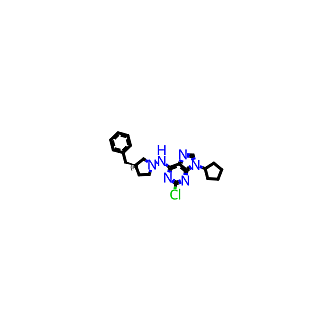 Clc1nc(NN2CC[C@@H](Cc3ccccc3)C2)c2ncn(C3CCCC3)c2n1